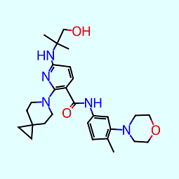 Cc1ccc(NC(=O)c2ccc(NC(C)(C)CO)nc2N2CCC3(CC2)CC3)cc1N1CCOCC1